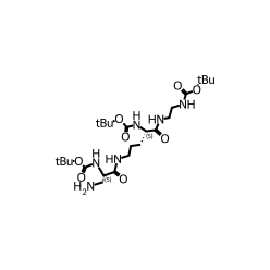 CC(C)(C)OC(=O)NCCNC(=O)[C@H](CCCNC(=O)[C@H](CN)NC(=O)OC(C)(C)C)NC(=O)OC(C)(C)C